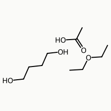 CC(=O)O.CCOCC.OCCCCO